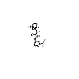 O=C(NCc1ccnc(C(F)F)c1)N[C@@H]1C[C@H]2CC[C@@H]1C2